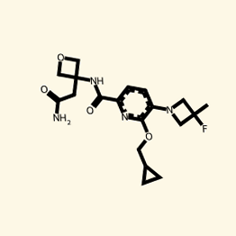 CC1(F)CN(c2ccc(C(=O)NC3(CC(N)=O)COC3)nc2OCC2CC2)C1